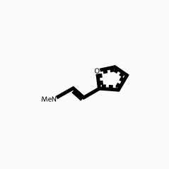 CNC=Cc1ccco1